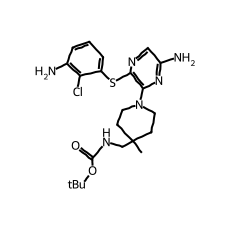 CC1(CNC(=O)OC(C)(C)C)CCN(c2nc(N)cnc2Sc2cccc(N)c2Cl)CC1